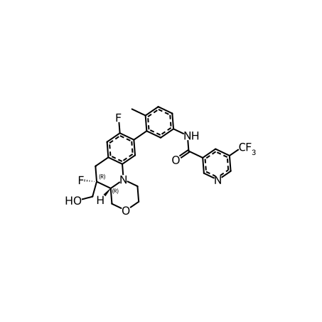 Cc1ccc(NC(=O)c2cncc(C(F)(F)F)c2)cc1-c1cc2c(cc1F)C[C@](F)(CO)[C@H]1COCCN21